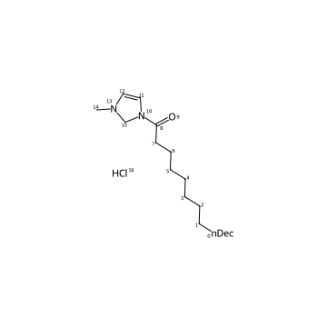 CCCCCCCCCCCCCCCCCC(=O)N1C=CN(C)C1.Cl